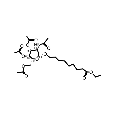 CCOC(=O)CCCCCCCCO[C@@H]1O[C@H](COC(C)=O)[C@@H](OC(C)=O)[C@H](OC(C)=O)[C@H]1NC(C)=O